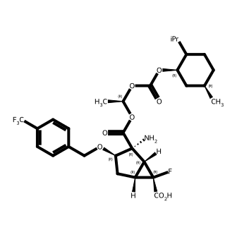 CC(C)C1CC[C@@H](C)C[C@H]1OC(=O)O[C@H](C)OC(=O)[C@@]1(N)[C@H]2[C@@H](C[C@H]1OCc1ccc(C(F)(F)F)cc1)[C@]2(F)C(=O)O